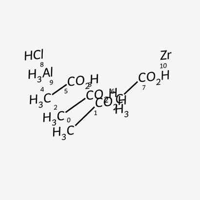 CC(=O)O.CC(=O)O.CC(=O)O.CC(=O)O.Cl.[AlH3].[Zr]